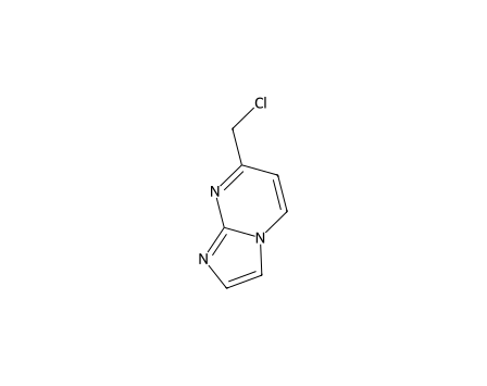 ClCc1ccn2ccnc2n1